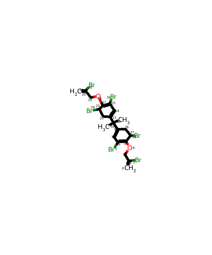 C=C(Br)COC1=C(Br)C=C(C(C)(C)C2=CC(Br)=C(OCC(=C)Br)C(Br)C2)CC1Br